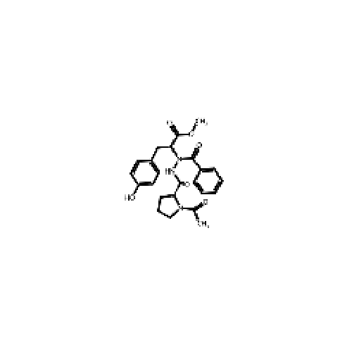 COC(=O)[C@H](Cc1ccc(O)cc1)N(NC(=O)[C@@H]1CCCN1C(C)=O)C(=O)c1ccccc1